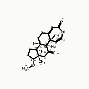 CO[C@H]1CC[C@H]2[C@@H]3CCC4=CC(=O)NC=C[C@]4(C)[C@H]3C(=O)C[C@]12C